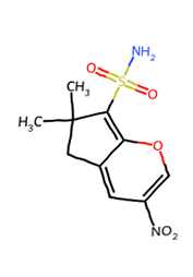 CC1(C)CC2=CC([N+](=O)[O-])=COC2=C1S(N)(=O)=O